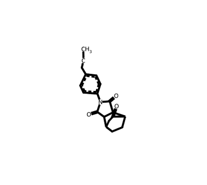 CCCc1ccc(N2C(=O)C3C4CCC(C(=O)C4)C3C2=O)cc1